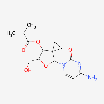 CC(C)C(=O)OC1C(CO)OC(n2ccc(N)nc2=O)C12CC2